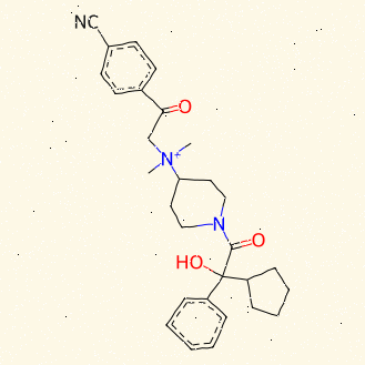 C[N+](C)(CC(=O)c1ccc(C#N)cc1)C1CCN(C(=O)C(O)(c2ccccc2)C2CCCC2)CC1